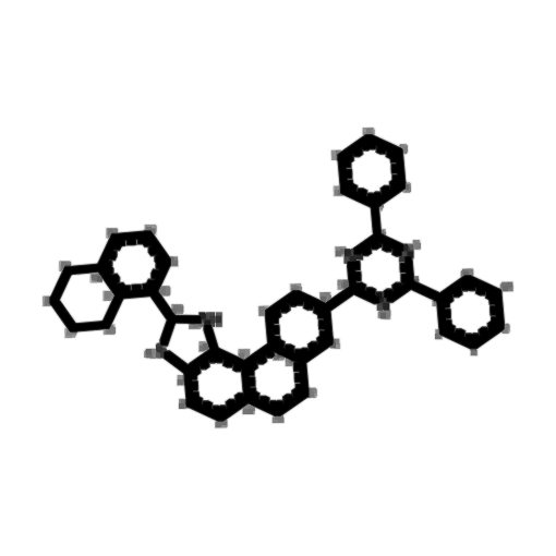 c1ccc(-c2nc(-c3ccccc3)nc(-c3ccc4c(ccc5ccc6c(c54)NC(c4cccc5c4CCCC5)S6)c3)n2)cc1